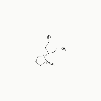 C=CCN(CC=C)[C@H]1COC[C@@H]1N